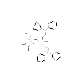 CCO[Si](CC[Si](C)(CCP(c1ccccc1)c1ccccc1)CCP(c1ccccc1)c1ccccc1)(OCC)OCC